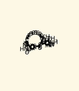 Cc1cc(C[C@H]2OC(=O)N3CCC4(CC3)OC(=O)Nc3ncc(cc34)CCCOCCCCCN(C)C2=O)cc2cn[nH]c12